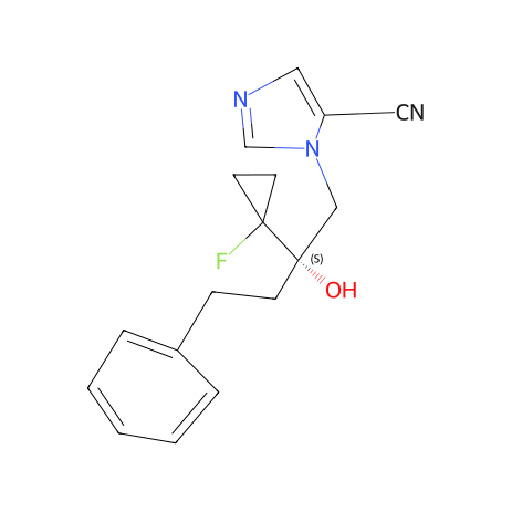 N#Cc1cncn1C[C@@](O)(CCc1ccccc1)C1(F)CC1